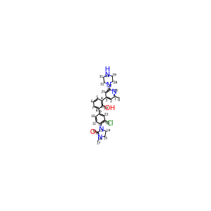 Cc1cc(-c2cccc(-c3ccc(N4CCN(C)C4=O)c(Cl)c3)c2O)cc(N2CCNCC2)n1